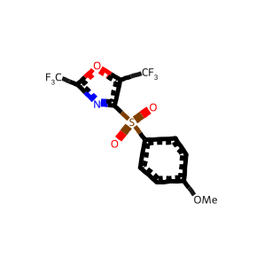 COc1ccc(S(=O)(=O)c2nc(C(F)(F)F)oc2C(F)(F)F)cc1